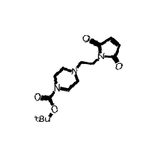 CC(C)(C)OC(=O)N1CCN(CCN2C(=O)C=CC2=O)CC1